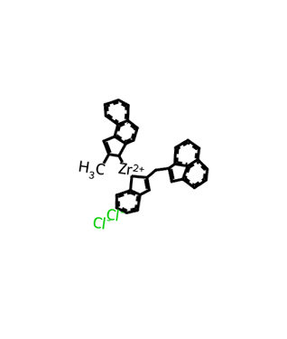 CC1=Cc2c(ccc3ccccc23)[CH]1[Zr+2][CH]1C(CC2=Cc3cccc4cccc2c34)=Cc2ccccc21.[Cl-].[Cl-]